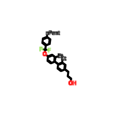 CCCCCc1ccc(C(F)(F)Oc2ccc(-c3ccc(CCCO)cc3CC)c(CC)c2)cc1